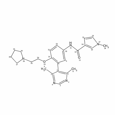 Cc1ncnc(C)c1-c1cc(NC(=O)c2ccn(C)c2)ccc1OCCN1CCCC1